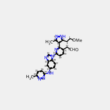 COCCc1[nH]nc(C)c1-c1nc(-n2cnc3cc(Nc4ccc(C)nn4)ccc32)ccc1CC=O